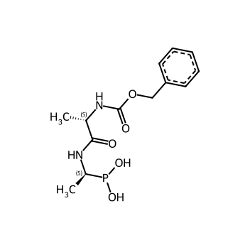 C[C@H](NC(=O)OCc1ccccc1)C(=O)N[C@H](C)P(O)O